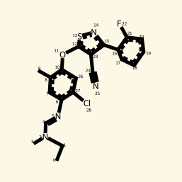 CCN(C)C=Nc1cc(C)c(Oc2snc(-c3ccccc3F)c2C#N)cc1Cl